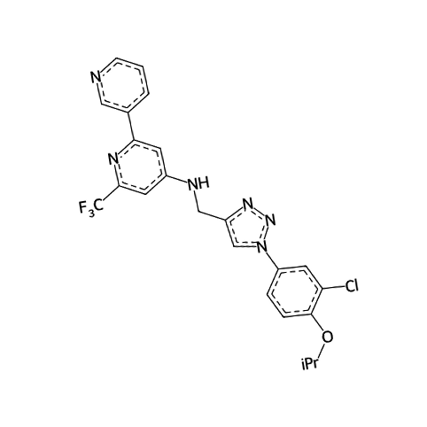 CC(C)Oc1ccc(-n2cc(CNc3cc(-c4cccnc4)nc(C(F)(F)F)c3)nn2)cc1Cl